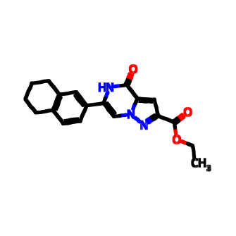 CCOC(=O)c1cc2c(=O)[nH]c(-c3ccc4c(c3)CCCC4)cn2n1